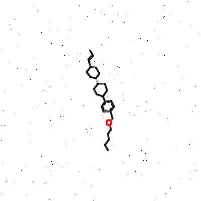 C/C=C/[C@H]1CC[C@H](C2CCC(c3ccc(COCCCCC)cc3)CC2)CC1